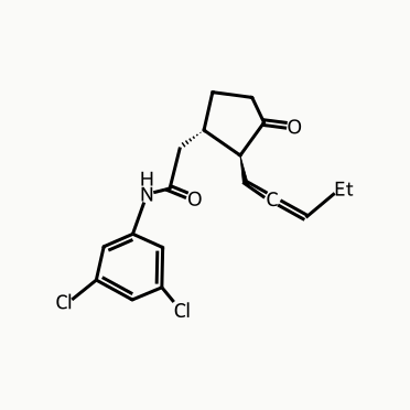 CCC=C=C[C@@H]1C(=O)CC[C@H]1CC(=O)Nc1cc(Cl)cc(Cl)c1